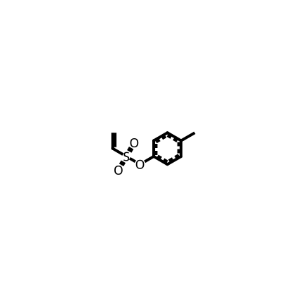 C=CS(=O)(=O)Oc1ccc(C)cc1